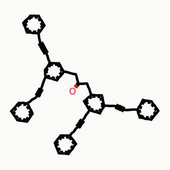 O=C(Cc1cc(C#Cc2ccccc2)cc(C#Cc2ccccc2)c1)Cc1cc(C#Cc2ccccc2)cc(C#Cc2ccccc2)c1